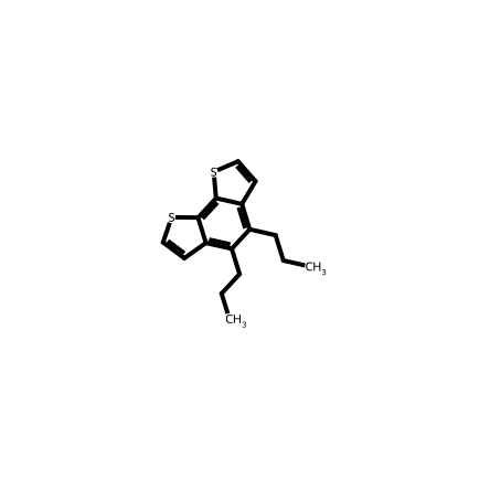 CCCc1c(CCC)c2ccsc2c2sccc12